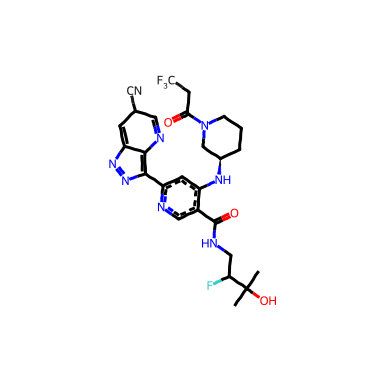 CC(C)(O)C(F)CNC(=O)c1cnc(C2=C3N=CC(C#N)C=C3N=N2)cc1N[C@@H]1CCCN(C(=O)CC(F)(F)F)C1